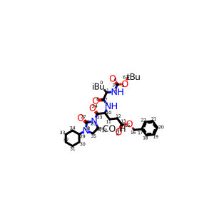 CCC(C)C(NC(=O)OC(C)(C)C)C(=O)NC(CCC(=O)OCc1ccccc1)C(=O)N1C(=O)N(C2CCCCC2)C[C@H]1C(=O)O